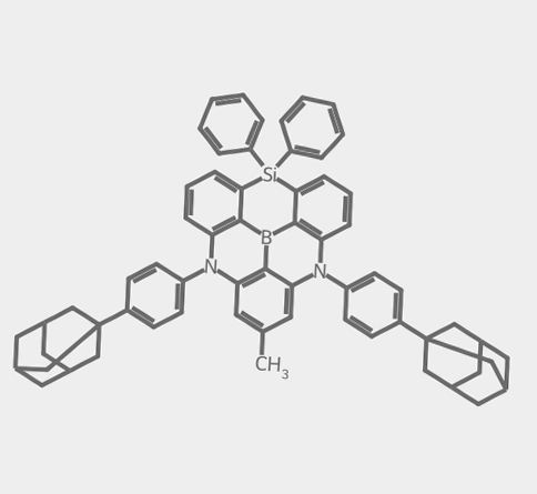 Cc1cc2c3c(c1)N(c1ccc(C45CC6CC(CC(C6)C4)C5)cc1)c1cccc4c1B3c1c(cccc1[Si]4(c1ccccc1)c1ccccc1)N2c1ccc(C23CC4CC(CC(C4)C2)C3)cc1